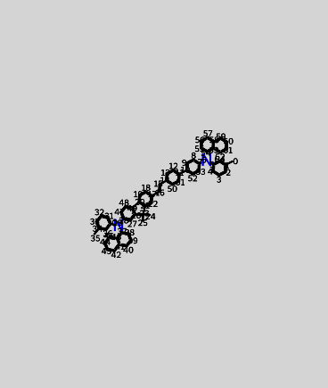 Cc1cccc(N(c2ccc(-c3ccc(/C=C/c4ccc5c(c4)C(C)(C)c4cc(N(c6cccc(C)c6)c6cccc7ccccc67)ccc4-5)cc3)cc2)c2cccc3ccccc23)c1